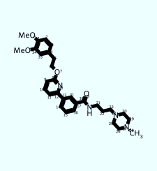 COc1ccc(CCOc2cccc(-c3cccc(C(=O)NCCCN4CCN(C)CC4)c3)n2)cc1OC